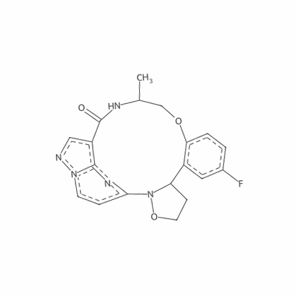 CC1COc2ccc(F)cc2C2CCON2c2ccn3ncc(c3n2)C(=O)N1